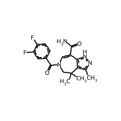 Cc1n[nH]c2c1C(C)(C)CN(C(=O)c1ccc(F)c(F)c1)C=C2C(N)=O